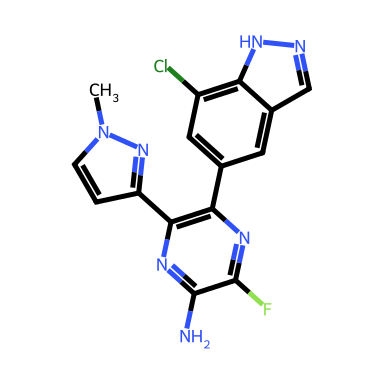 Cn1ccc(-c2nc(N)c(F)nc2-c2cc(Cl)c3[nH]ncc3c2)n1